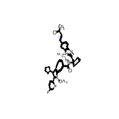 Cn1c(C2(NC(=O)c3ccc4c(C5CCCC5)c(-c5ccc(F)cn5)n(C)c4c3)CCC2)nc2ccc(/C=C/C(=O)O)cc21